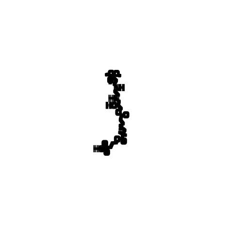 CO[Si](CCNCCNCC(O)COC(=O)CCSCC(C)(C)C(=O)OCCCS(=O)(=O)O)(OC)OC